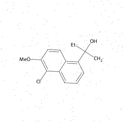 [CH2]C(O)(CC)c1cccc2c(Cl)c(OC)ccc12